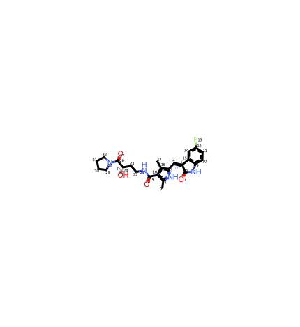 Cc1[nH]c(/C=C2\C(=O)Nc3ccc(F)cc32)c(C)c1C(=O)NCC[C@H](O)C(=O)N1CCCC1